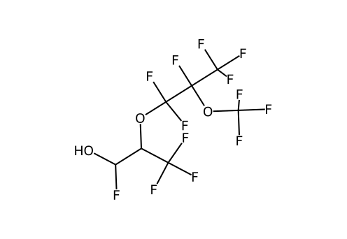 OC(F)C(OC(F)(F)C(F)(OC(F)(F)F)C(F)(F)F)C(F)(F)F